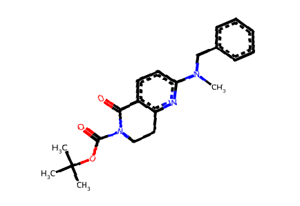 CN(Cc1ccccc1)c1ccc2c(n1)CCN(C(=O)OC(C)(C)C)C2=O